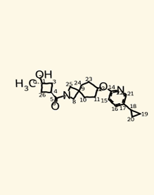 C[C@]1(O)C[C@@H](C(=O)N2CC3(CCC(Oc4ccc(C5CC5)cn4)CC3)C2)C1